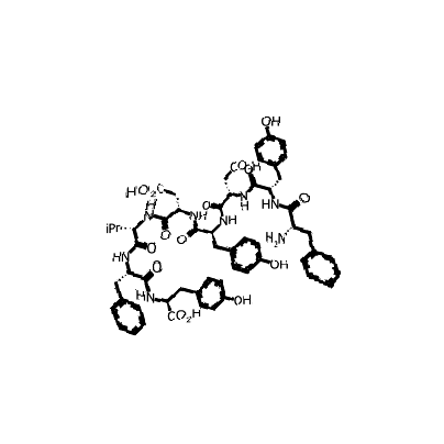 CC(C)[C@H](NC(=O)[C@H](CC(=O)O)NC(=O)[C@H](Cc1ccc(O)cc1)NC(=O)[C@H](CC(=O)O)NC(=O)[C@H](Cc1ccc(O)cc1)NC(=O)[C@@H](N)Cc1ccccc1)C(=O)N[C@@H](Cc1ccccc1)C(=O)N[C@@H](Cc1ccc(O)cc1)C(=O)O